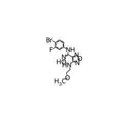 COCCNc1nonc1C(=NO)Nc1ccc(Br)c(F)c1